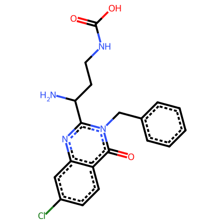 NC(CCNC(=O)O)c1nc2cc(Cl)ccc2c(=O)n1Cc1ccccc1